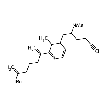 C#CCCC(CC1C=CC=C(C(=C)CCCC(=C)C(C)(C)C)C1C)NC